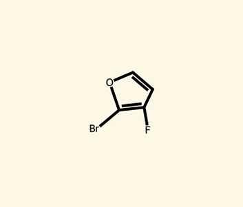 Fc1ccoc1Br